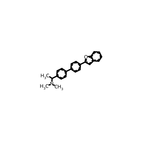 CC(c1ccc(-c2ccc(-c3cc4ccccc4o3)cc2)cc1)N(C)C